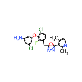 Cc1ccnc(C)c1-c1nnc(Cc2ccc(Cl)c(Oc3cc(N)cc(Cl)c3)c2F)o1